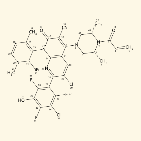 C=CC(=O)N1[C@H](C)CN(c2c(C#N)c(=O)n(C3=C(C)C=CN(C)C3C(C)C)c3nc(-c4c(F)c(O)c(F)c(Cl)c4F)c(Cl)cc23)C[C@@H]1C